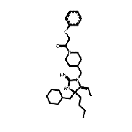 CC=C1N(CC2CCN(C(=O)COc3ccccc3)CC2)C(=N)NC1(CCCC)CC1CCCCC1